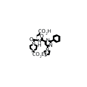 CCOC(=O)N1CCN(C(=O)[C@H](CCC(=O)O)NC(=O)c2cc(N3CCSC3)nc(-c3ccccc3)n2)CC1